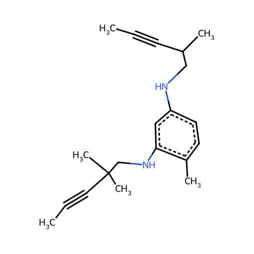 CC#CC(C)CNc1ccc(C)c(NCC(C)(C)C#CC)c1